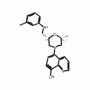 Cc1cccc(NC[C@H]2CN(c3ccc(C#N)c4ncccc34)C[C@@H](C)O2)c1